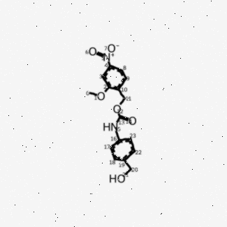 COc1cc([N+](=O)[O-])ccc1COC(=O)Nc1ccc(CO)cc1